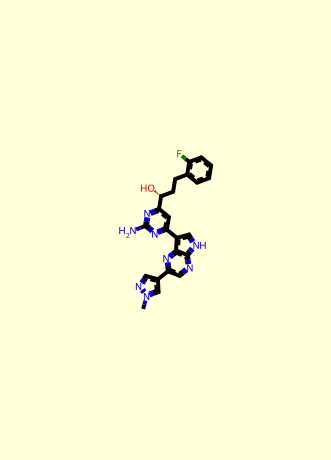 Cn1cc(-c2cnc3[nH]cc(-c4cc([C@H](O)CCc5ccccc5F)nc(N)n4)c3n2)cn1